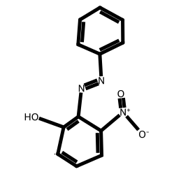 O=[N+]([O-])c1cc[c]c(O)c1N=Nc1ccccc1